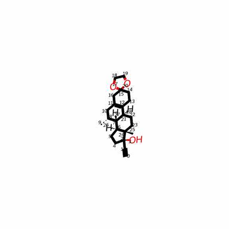 C#C[C@]1(O)CC[C@H]2[C@@H]3[C@H](C)CC4=C(CCC5(C4)OCCO5)[C@H]3CC[C@@]21C